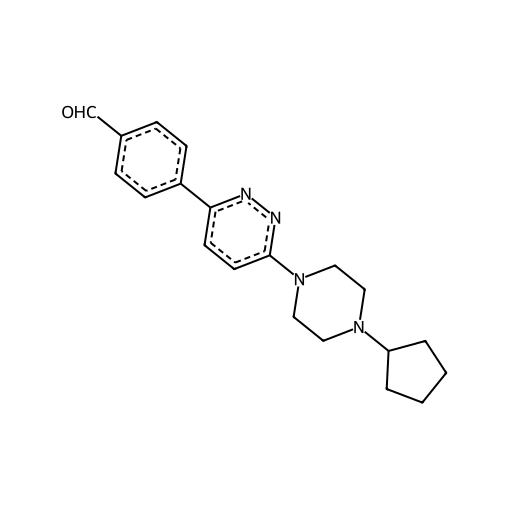 O=Cc1ccc(-c2ccc(N3CCN(C4CCCC4)CC3)nn2)cc1